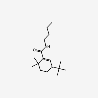 CCCCNC(=O)C1=CN(C(C)(C)C)CCC1(C)C